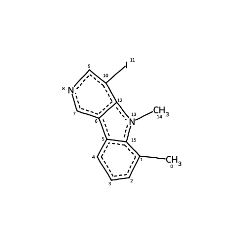 Cc1cccc2c3cncc(I)c3n(C)c12